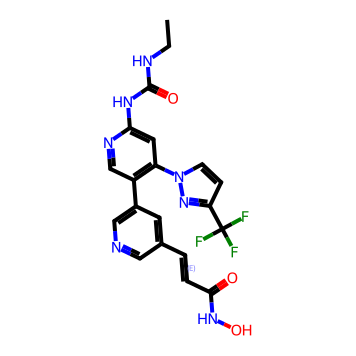 CCNC(=O)Nc1cc(-n2ccc(C(F)(F)F)n2)c(-c2cncc(/C=C/C(=O)NO)c2)cn1